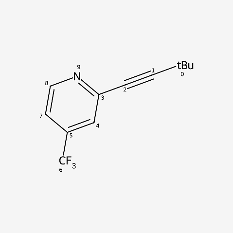 CC(C)(C)C#Cc1cc(C(F)(F)F)ccn1